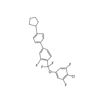 Fc1cc(-c2ccc(C3CCCC3)cc2)ccc1C(F)(F)Oc1cc(F)c(Cl)c(F)c1